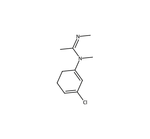 C/N=C(/C)N(C)C1=CC(Cl)=CCC1